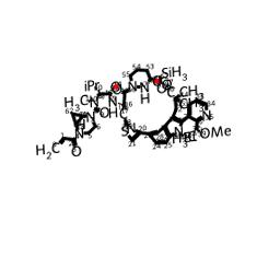 C=CC(=O)N1CCN(C(=O)N(C)[C@H](C(=O)N[C@H]2Cc3nc(cs3)-c3ccc4c(c3)c(c(-c3cccnc3[C@H](C)OC)n4CC)CC(C)(C)COC[C@]3(C(=O)[SiH3])CCCN(N3)C2=O)C(C)C)[C@@H]2CC21